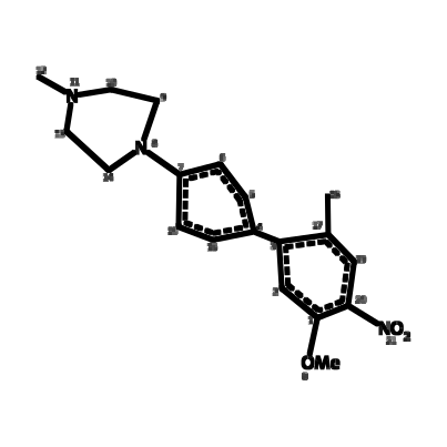 COc1cc(-c2ccc(N3CCN(C)CC3)cc2)c(C)cc1[N+](=O)[O-]